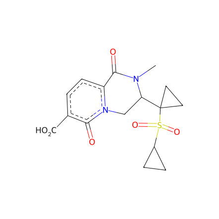 CN1C(=O)c2ccc(C(=O)O)c(=O)n2CC1C1(S(=O)(=O)C2CC2)CC1